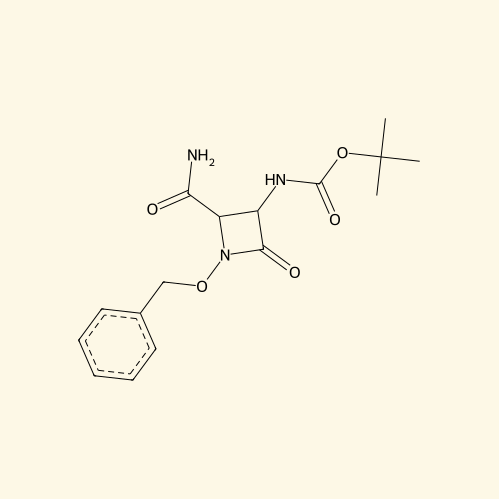 CC(C)(C)OC(=O)NC1C(=O)N(OCc2ccccc2)C1C(N)=O